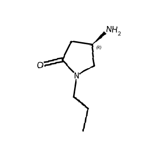 CCCN1C[C@H](N)CC1=O